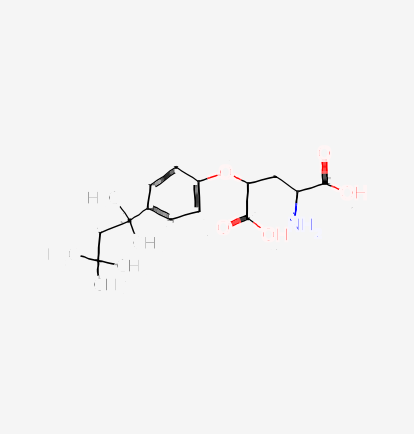 CC(C)(C)CC(C)(C)c1ccc(OC(CC(N)C(=O)O)C(=O)O)cc1